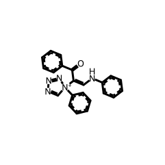 O=C(C(=CNc1ccccc1)[N+]1(c2ccccc2)C=NN=N1)c1ccccc1